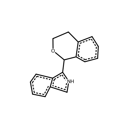 c1ccc2c(c1)CCO[C]2c1[nH]cc2ccccc12